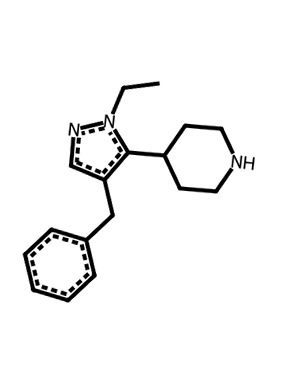 CCn1ncc(Cc2ccccc2)c1C1CCNCC1